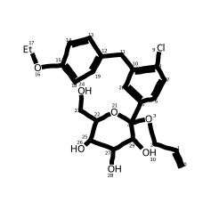 C=CCOC1(c2ccc(Cl)c(Cc3ccc(OCC)cc3)c2)OC(CO)C(O)C(O)C1O